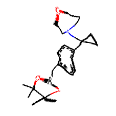 CC1(C)OB(c2ccc(C3(N4CCOCC4)CC3)cc2)OC1(C)C